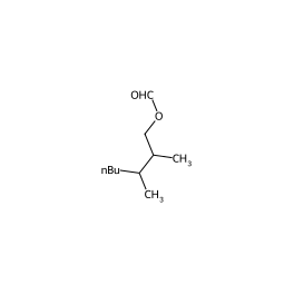 CCCCC(C)C(C)COC=O